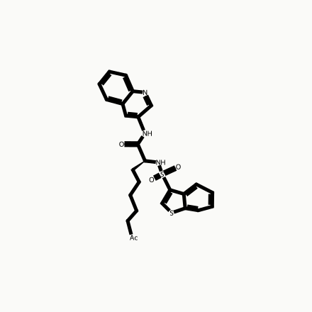 CC(=O)CCCCC[C@H](NS(=O)(=O)c1csc2ccccc12)C(=O)Nc1cnc2ccccc2c1